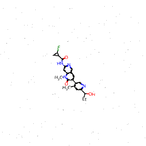 CCC(O)c1cc(C)c(-c2cc3cnc(NC(=O)C4CC4F)cc3n(C)c2=O)cn1